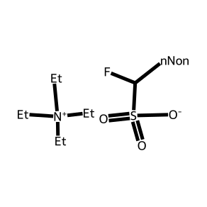 CCCCCCCCCC(F)S(=O)(=O)[O-].CC[N+](CC)(CC)CC